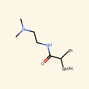 CC(=O)NC(C(=O)NCCN(C)C)C(C)C